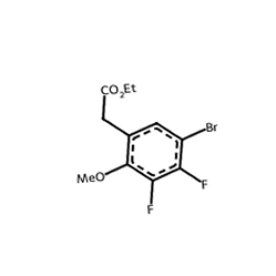 CCOC(=O)Cc1cc(Br)c(F)c(F)c1OC